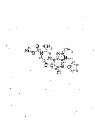 Cc1nc2c(N3C[C@@H](C)N(C(=O)OC(C)(C)C)C[C@@H]3C)cc(Cl)nc2n1C[C@@H]1CCCO1